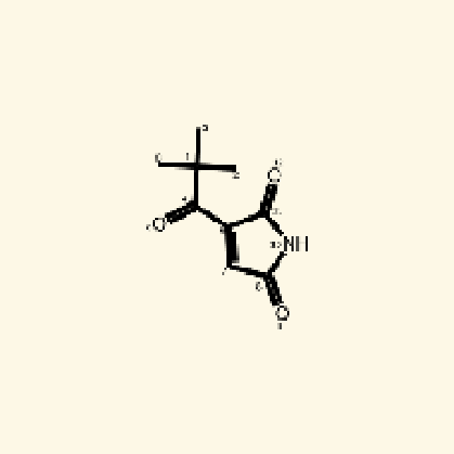 CC(C)(C)C(=O)C1=CC(=O)NC1=O